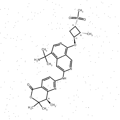 C[C@@H]1[C@@H](Oc2ncc(C(C)(C)N)c3cc(Nc4ccc5c(n4)[C@@H](C)C(C)(C)OC5=O)ncc23)C[C@@H]1S(C)(=O)=O